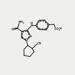 N#CC1CCCCC1n1cc(C(N)=O)c(Nc2ccc(CC(=O)O)cc2)n1